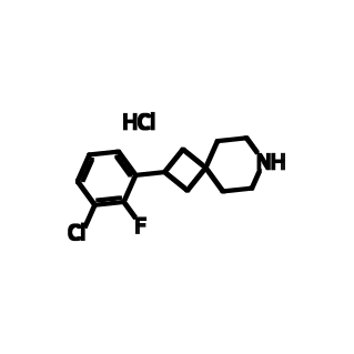 Cl.Fc1c(Cl)cccc1C1CC2(CCNCC2)C1